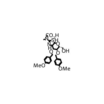 COc1ccc(CO[C@@H]2[C@H]3N=C(N(C)C(=O)O)S[C@H]3O[C@H](CO)[C@H]2OCc2ccc(OC)cc2)cc1